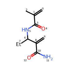 C=C(C)C(=O)NC(CC)C(=C)C(N)=O